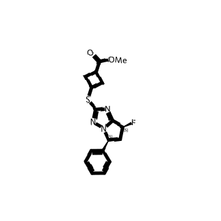 COC(=O)C1CC(Sc2nc3n(n2)[C@H](c2ccccc2)C[C@@H]3F)C1